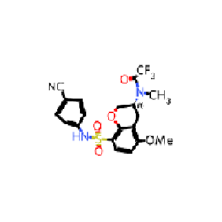 COc1ccc(S(=O)(=O)Nc2ccc(C#N)cc2)c2c1C[C@@H](N(C)C(=O)C(F)(F)F)CO2